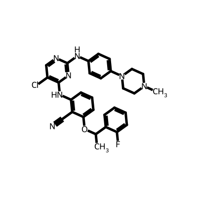 CC(Oc1cccc(Nc2nc(Nc3ccc(N4CCN(C)CC4)cc3)ncc2Cl)c1C#N)c1ccccc1F